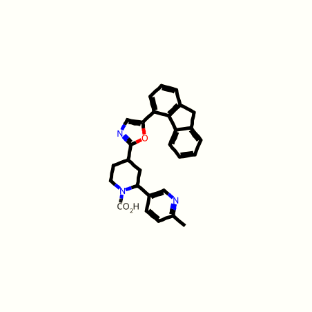 Cc1ccc(C2CC(c3ncc(-c4cccc5c4-c4ccccc4C5)o3)CCN2C(=O)O)cn1